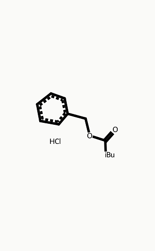 CCC(C)C(=O)OCc1ccccc1.Cl